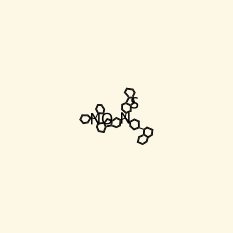 c1ccc(N(c2ccccc2)c2cccc3c2oc2cc(N(c4ccc(-c5cccc6ccccc56)cc4)c4ccc5c(c4)sc4ccccc45)ccc23)cc1